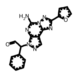 Nc1nc2c(cnn2C(C=O)c2ccccc2)c2nc(-c3ccco3)nn12